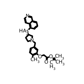 Cc1ccc(CN2CC[C@@H]([AsH]c3cccc4cnccc34)C2)cc1OCC(=O)OC(C)(C)C